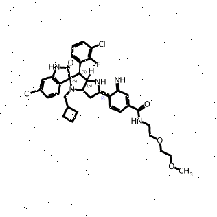 COCCOCCNC(=O)C1=CC(=N)/C(=C2/CC3[C@@H](N2)[C@H](c2cccc(Cl)c2F)[C@]2(C(=O)Nc4cc(Cl)ccc42)N3CC2CCC2)C=C1